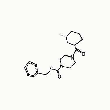 C[C@@H]1CCC[C@H](C(=O)N2CCN(C(=O)OCc3ccccc3)CC2)C1